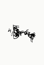 Cn1c(N2CCC(F)(F)C2)cc(OCc2ccc(Oc3ccc(Cl)c(C(F)(F)F)c3)c(F)c2)nc1=O